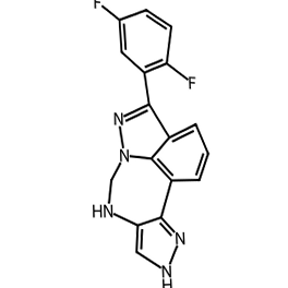 Fc1ccc(F)c(-c2nn3c4c(cccc24)-c2n[nH]cc2NC3)c1